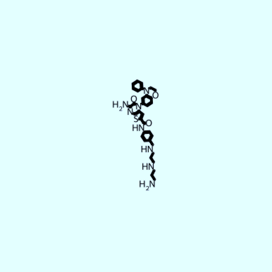 NCCCNCCCNCc1ccc(NC(=O)c2cc3c(nc(N)c(=O)n3-c3ccc4c(c3)N(c3ccccc3)CCO4)s2)cc1